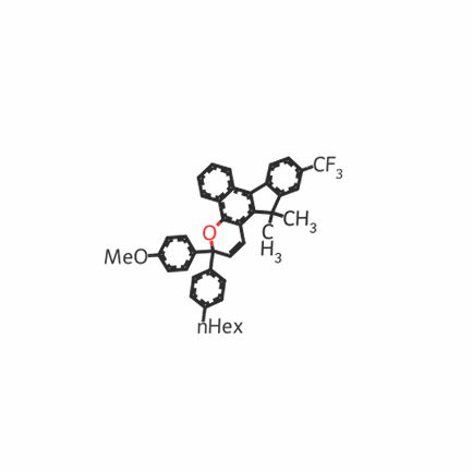 CCCCCCc1ccc(C2(c3ccc(OC)cc3)C=Cc3c4c(c5ccccc5c3O2)-c2ccc(C(F)(F)F)cc2C4(C)C)cc1